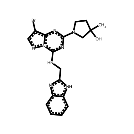 CC1(O)CCN(c2nc(NCc3nc4ccccc4[nH]3)n3ncc(Br)c3n2)C1